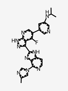 Cc1cn(-c2nccc3[nH]c(-c4n[nH]c5ncc(-c6cncc(NC(C)C)c6)c(F)c45)nc23)cn1